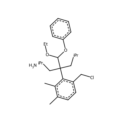 CCOC(Oc1ccccc1)C(CC(C)C)(CC(C)C)c1c(CCl)ccc(C)c1C.N